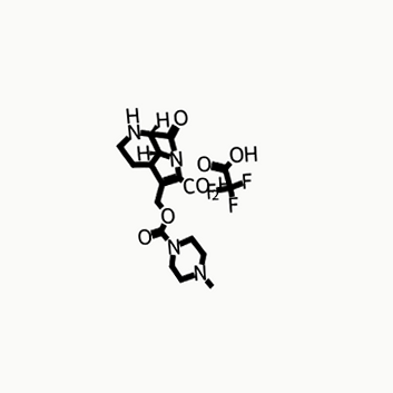 CN1CCN(C(=O)OCC2=C(C(=O)O)N3C(=O)[C@H]4NCCC2[C@H]43)CC1.O=C(O)C(F)(F)F